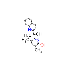 Cc1cc(C)c(C(C)(C)c2ccc3ccccc3n2)nc1O